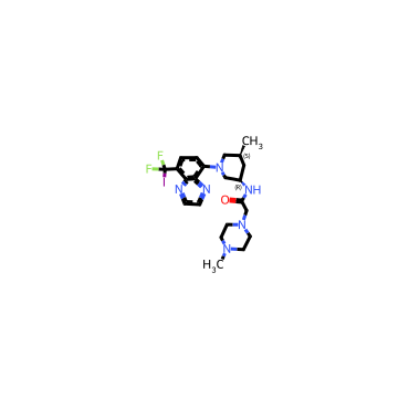 C[C@H]1C[C@@H](NC(=O)CN2CCN(C)CC2)CN(c2ccc(C(F)(F)I)c3nccnc23)C1